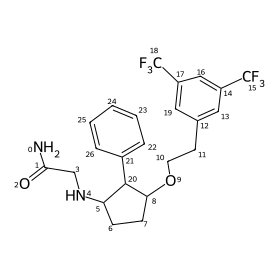 NC(=O)CNC1CCC(OCCc2cc(C(F)(F)F)cc(C(F)(F)F)c2)C1c1ccccc1